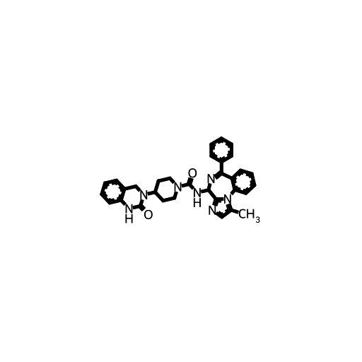 Cc1cnc2n1-c1ccccc1C(c1ccccc1)=NC2NC(=O)N1CCC(N2Cc3ccccc3NC2=O)CC1